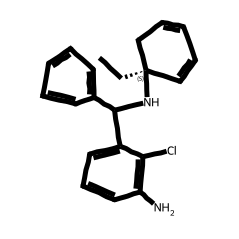 CC[C@@]1(NC(c2ccccc2)c2cccc(N)c2Cl)C=CC=CC1